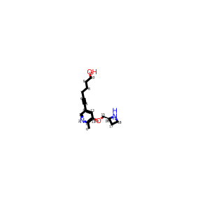 Cc1ncc(C#CCCCCO)cc1OC[C@@H]1CCN1